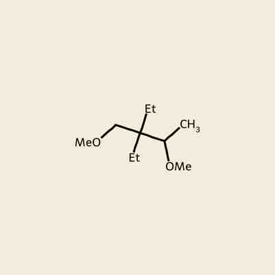 CCC(CC)(COC)C(C)OC